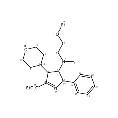 CCOCCN(C)C1C(N2CCOCC2)C(C(=O)OCC)=NN1c1ccccc1